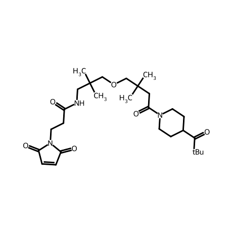 CC(C)(CNC(=O)CCN1C(=O)C=CC1=O)COCC(C)(C)CC(=O)N1CCC(C(=O)C(C)(C)C)CC1